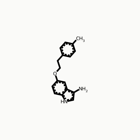 Cc1ccc(CCOc2ccc3[nH]cc(N)c3c2)cc1